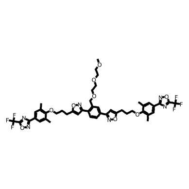 COCCOCCOCc1cc(-c2cc(CCCOc3c(C)cc(-c4noc(C(F)(F)F)n4)cc3C)on2)ccc1-c1cc(CCCOc2c(C)cc(-c3noc(C(F)(F)F)n3)cc2C)on1